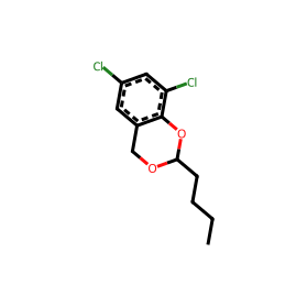 CCCCC1OCc2cc(Cl)cc(Cl)c2O1